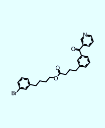 O=C(CCCc1cccc(C(=O)c2cccnc2)c1)OCCCCc1cccc(Br)c1